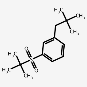 CC(C)(C)Cc1cccc(S(=O)(=O)C(C)(C)C)c1